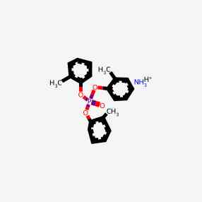 Cc1ccccc1OP(=O)(Oc1ccccc1C)Oc1ccccc1C.N.[H+]